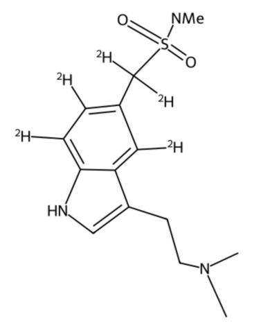 [2H]c1c(C([2H])([2H])S(=O)(=O)NC)c([2H])c2c(CCN(C)C)c[nH]c2c1[2H]